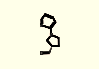 O=C[C@H]1CCN(c2ccccn2)C1